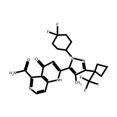 Cc1c(C2(C(F)(F)F)CCC2)nn(C2CCC(F)(F)CC2)c1-c1cc(=O)c2c(C(N)=O)nccc2[nH]1